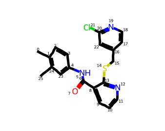 Cc1ccc(NC(=O)c2cccnc2SCc2ccnc(Cl)c2)cc1C